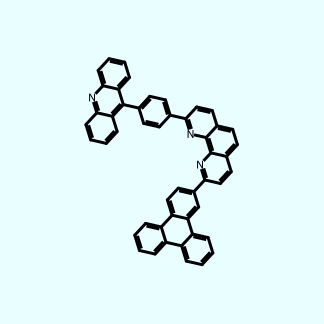 c1ccc2c(-c3ccc(-c4ccc5ccc6ccc(-c7ccc8c9ccccc9c9ccccc9c8c7)nc6c5n4)cc3)c3ccccc3nc2c1